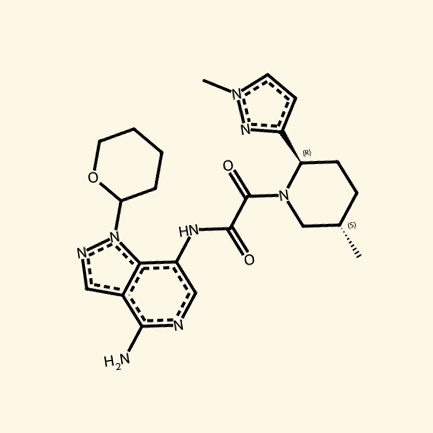 C[C@H]1CC[C@H](c2ccn(C)n2)N(C(=O)C(=O)Nc2cnc(N)c3cnn(C4CCCCO4)c23)C1